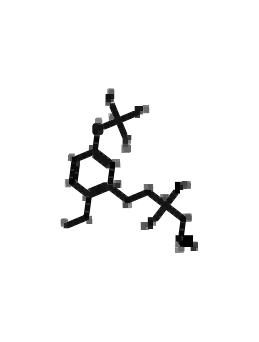 CCc1ccc(OC(F)(F)F)cc1CCC(F)(F)CN